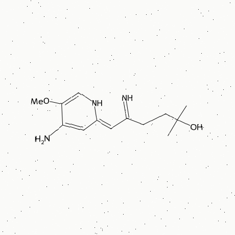 COC1=CN/C(=C\C(=N)CCC(C)(C)O)C=C1N